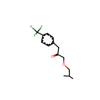 CC(C)COCC(=O)Cc1ccc(C(F)(F)F)cc1